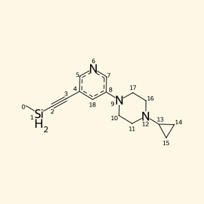 C[SiH2]C#Cc1cncc(N2CCN(C3CC3)CC2)c1